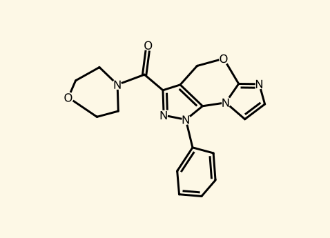 O=C(c1nn(-c2ccccc2)c2c1COc1nccn1-2)N1CCOCC1